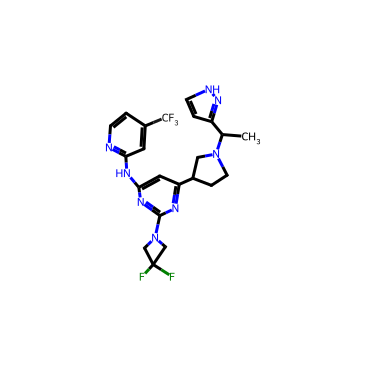 CC(c1cc[nH]n1)N1CCC(c2cc(Nc3cc(C(F)(F)F)ccn3)nc(N3CC(F)(F)C3)n2)C1